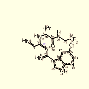 CC(C)[C@@H](N/C(C=N)=N/C(=N)c1c[nH]c2ncc(Cl)cc12)C(=O)NCC(F)(F)F